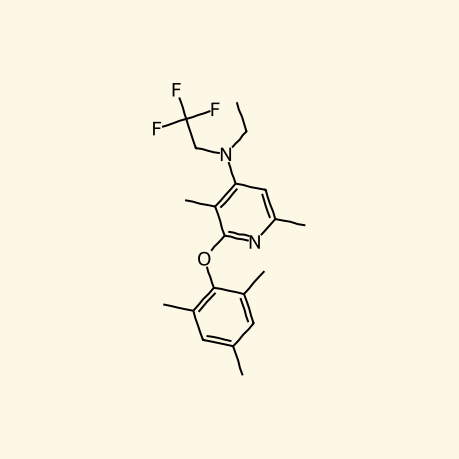 CCN(CC(F)(F)F)c1cc(C)nc(Oc2c(C)cc(C)cc2C)c1C